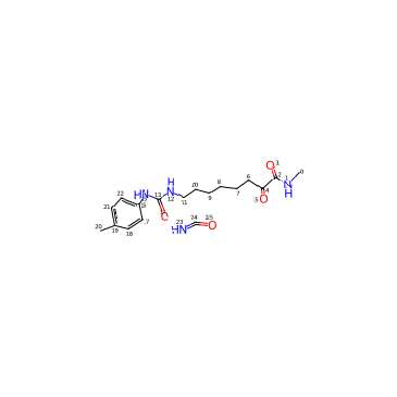 CNC(=O)C(=O)CCCCCCNC(=O)Nc1ccc(C)cc1.N=C=O